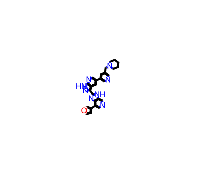 c1cc(-c2cncc3[nH]c(-c4n[nH]c5ncc(-c6cncc(CN7CCCCC7)c6)cc45)nc23)co1